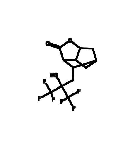 O=C1OC2CC3CC2C1C3CC(O)(C(F)(F)F)C(F)(F)F